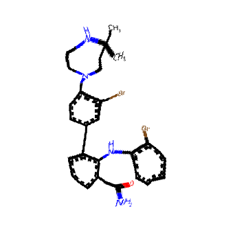 CC1(C)CN(c2ccc(-c3cccc(C(N)=O)c3Nc3ccccc3Br)cc2Br)CCN1